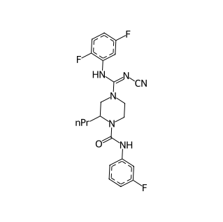 CCCC1CN(/C(=N\C#N)Nc2cc(F)ccc2F)CCN1C(=O)Nc1cccc(F)c1